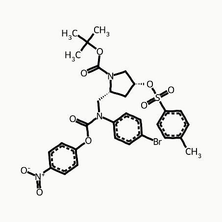 Cc1ccc(S(=O)(=O)O[C@@H]2C[C@H](CN(C(=O)Oc3ccc([N+](=O)[O-])cc3)c3ccc(Br)cc3)N(C(=O)OC(C)(C)C)C2)cc1